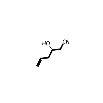 C=CC[C@H](O)[CH]C#N